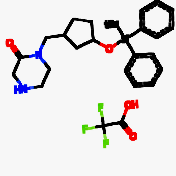 CC(C)(C)[Si](OC1CCC(CN2CCNCC2=O)C1)(c1ccccc1)c1ccccc1.O=C(O)C(F)(F)F